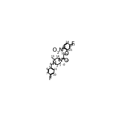 C[C@@H]1CN(Cc2ccc(F)cc2)[C@@H](C)CN1C(=O)COc1cc(F)ccc1[N+](=O)[O-]